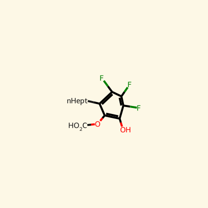 CCCCCCCc1c(F)c(F)c(F)c(O)c1OC(=O)O